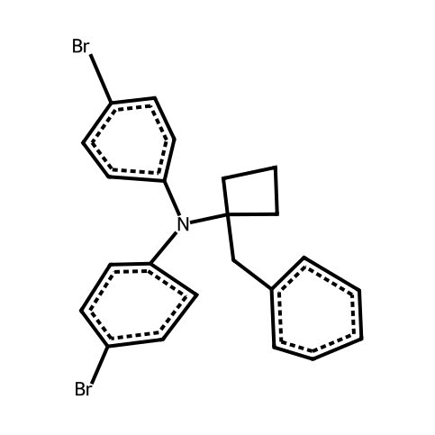 Brc1ccc(N(c2ccc(Br)cc2)C2(Cc3ccccc3)CCC2)cc1